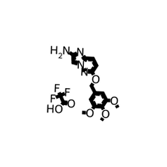 COc1cc(COc2ccc3nc(N)cn3n2)cc(OC)c1OC.O=C(O)C(F)(F)F